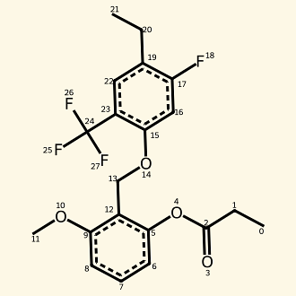 CCC(=O)Oc1cccc(OC)c1COc1cc(F)c(CC)cc1C(F)(F)F